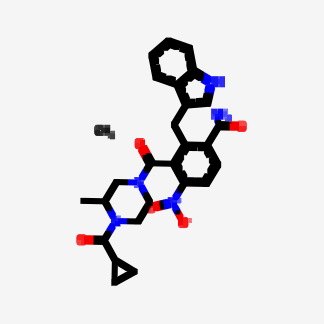 C.CC1CN(C(=O)c2c([N+](=O)[O-])ccc(C(N)=O)c2Cc2c[nH]c3ccccc23)CCN1C(=O)C1CC1